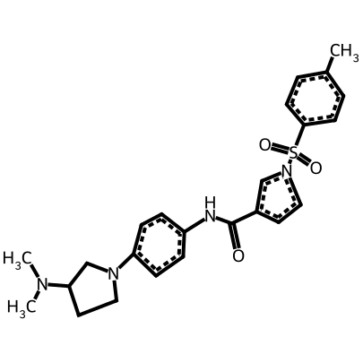 Cc1ccc(S(=O)(=O)n2ccc(C(=O)Nc3ccc(N4CCC(N(C)C)C4)cc3)c2)cc1